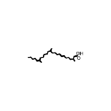 CCCCCC(C)CCCCCC(C)CCCCCCCCCC(C)CC(=O)O